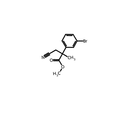 COC(=O)C(C)(CC#N)c1cccc(Br)c1